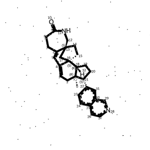 C[C@]12CC=C3C=C4CCC(=O)NC[C@]45CC[C@]3(C5)[C@@H]1CC[C@@H]2c1ccc2ccncc2c1